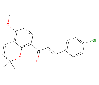 COc1ccc(C(=O)/C=C/c2ccc(Br)cc2)c2c1C=CC(C)(C)O2